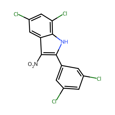 O=[N+]([O-])c1c(-c2cc(Cl)cc(Cl)c2)[nH]c2c(Cl)cc(Cl)cc12